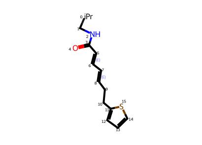 CC(C)CNC(=O)/C=C/C=C/CCc1cccs1